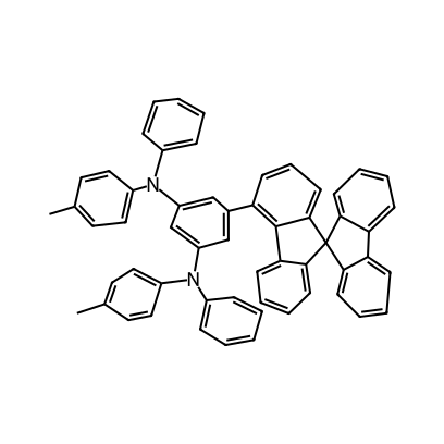 Cc1ccc(N(c2ccccc2)c2cc(-c3cccc4c3-c3ccccc3C43c4ccccc4-c4ccccc43)cc(N(c3ccccc3)c3ccc(C)cc3)c2)cc1